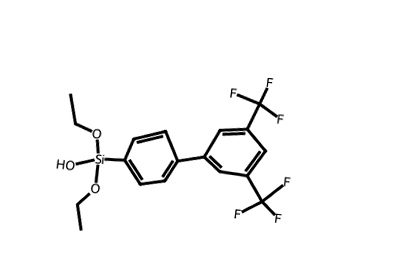 CCO[Si](O)(OCC)c1ccc(-c2cc(C(F)(F)F)cc(C(F)(F)F)c2)cc1